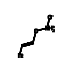 CCC=CO[NH2+][O-]